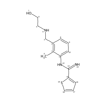 Cc1c(CNCCO)cccc1NC(=N)c1cccs1